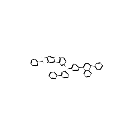 c1ccc(-c2cccc(N(c3ccc(-c4ccc(-c5ccccc5)c5ccccc45)cc3)c3ccc4oc5cc6nc(-c7ccccc7)oc6cc5c4c3)c2)cc1